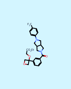 CCOC(=O)COC1(c2cccc(C(=O)N3CC4CN(c5ccc(C(F)(F)F)cc5)CC4C3)c2)COC1